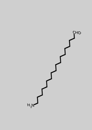 NCCCCCCCCCCCCCCCCC[C]=O